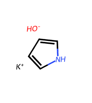 [K+].[OH-].c1cc[nH]c1